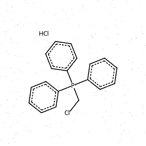 Cl.ClC[P](c1ccccc1)(c1ccccc1)c1ccccc1